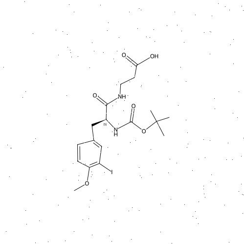 COc1ccc(C[C@H](NC(=O)OC(C)(C)C)C(=O)NCCC(=O)O)cc1I